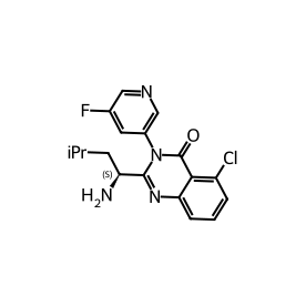 CC(C)C[C@H](N)c1nc2cccc(Cl)c2c(=O)n1-c1cncc(F)c1